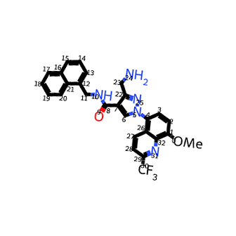 COc1ccc(-n2cc(C(=O)NCc3cccc4ccccc34)c(CN)n2)c2ccc(C(F)(F)F)nc12